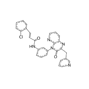 O=C(C=Cc1ccccc1Cl)Nc1cccc(-n2c(=O)c(Cc3cccnc3)nc3cccnc32)c1